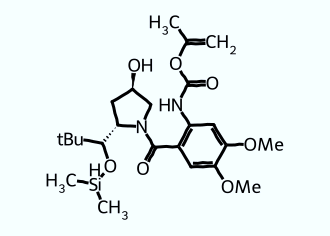 C=C(C)OC(=O)Nc1cc(OC)c(OC)cc1C(=O)N1C[C@H](O)C[C@H]1C(O[SiH](C)C)C(C)(C)C